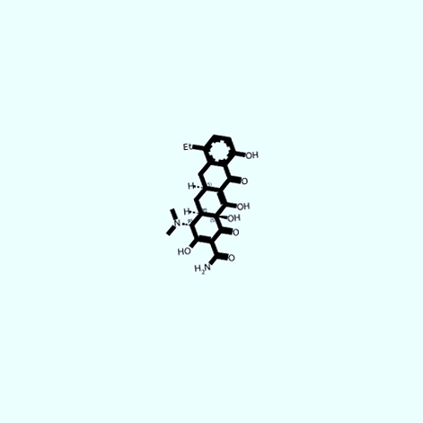 CCc1ccc(O)c2c1C[C@@H]1C[C@@H]3[C@@H](N(C)C)C(O)=C(C(N)=O)C(=O)[C@@]3(O)C(O)=C1C2=O